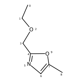 CCOCc1ncc(C)o1